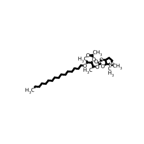 CCCCCCCCCCCCCCCCOC(C)C(OC(C)=O)C(C)OP1(=O)OC2CC[N+](C)(C)C2O1